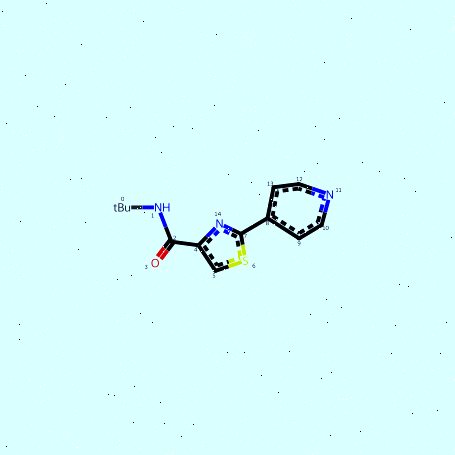 CC(C)(C)NC(=O)c1csc(-c2ccncc2)n1